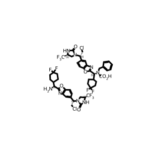 N[C@H](c1nc2cc([C@@H](CCl)N3C[C@@H](C(F)(F)F)NC3=O)ccc2o1)C1CCC(F)(F)CC1.O=C1N[C@H](C(F)(F)F)CN1[C@H](CCl)c1ccc2oc([C@H](C3CCC(F)(F)CC3)N(Cc3ccccc3)C(=O)O)nc2c1